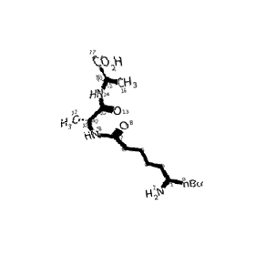 CCCCC(N)CCCCC(=O)N[C@H](C)C(=O)N[C@H](C)C(=O)O